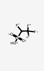 O=S(=O)(O)C(F)C(F)(F)F